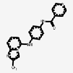 O=C(Nc1ccc(Nc2cccc3nc(C(F)(F)F)cn23)cc1)c1ccncc1